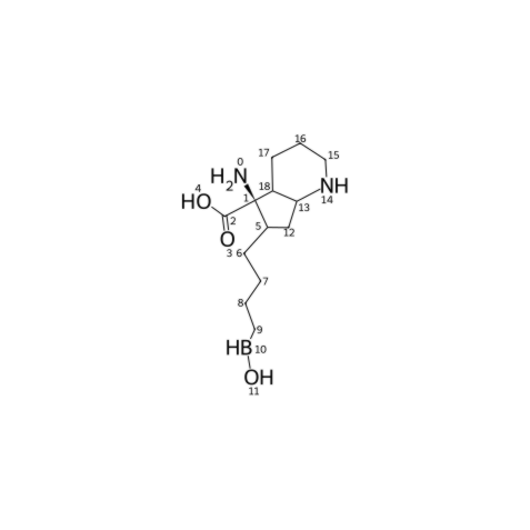 N[C@]1(C(=O)O)C(CCCCBO)CC2NCCCC21